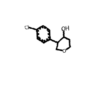 OC1CCOCC1c1ccc(Cl)cc1